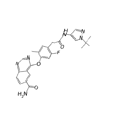 Cc1cc(CC(=O)Nc2cnn(C(C)(C)C)c2)c(F)cc1Oc1ncnc2ccc(C(N)=O)cc12